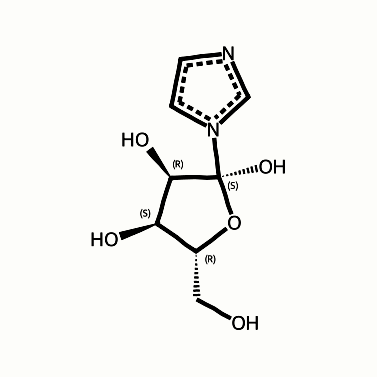 OC[C@H]1O[C@](O)(n2ccnc2)[C@H](O)[C@@H]1O